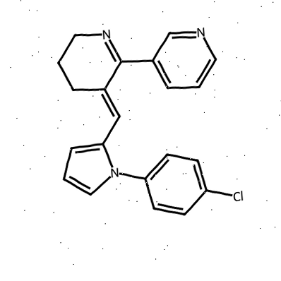 Clc1ccc(-n2cccc2/C=C2\CCCN=C2c2cccnc2)cc1